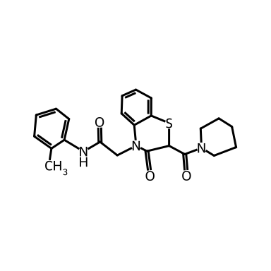 Cc1ccccc1NC(=O)CN1C(=O)C(C(=O)N2CCCCC2)Sc2ccccc21